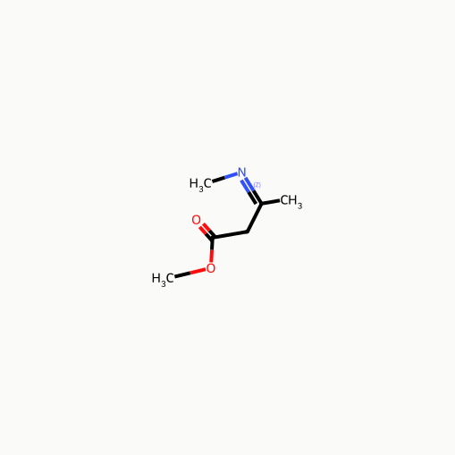 C/N=C(/C)CC(=O)OC